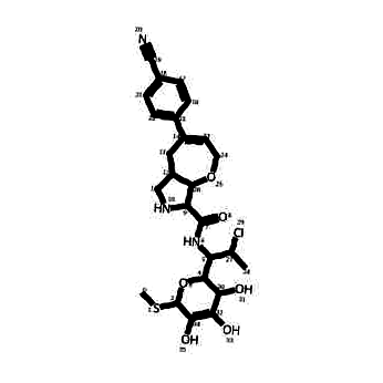 CSC1OC(C(NC(=O)C2NCC3CC(c4ccc(C#N)cc4)=CCOC32)C(C)Cl)C(O)C(O)=C1O